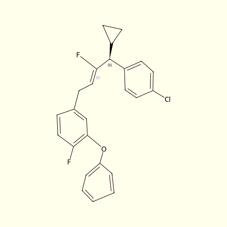 F/C(=C\Cc1ccc(F)c(Oc2ccccc2)c1)[C@H](c1ccc(Cl)cc1)C1CC1